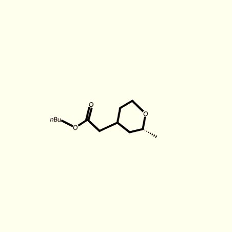 CCCCOC(=O)CC1CCO[C@H](C)C1